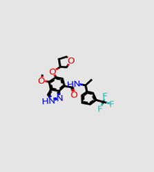 COc1c(OC2CCOC2)cc(C(=O)NC(C)c2cccc(C(F)(F)F)c2)c2n[nH]cc12